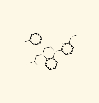 CCOc1cccc(N2C[C@@H](c3cccc(C(F)(F)F)c3)N(C[C@@H](O)C(F)(F)F)c3ccccc32)n1